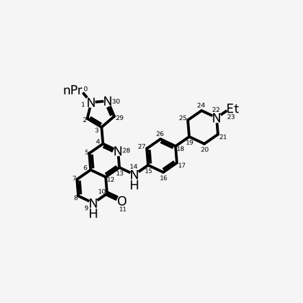 CCCn1cc(-c2cc3cc[nH]c(=O)c3c(Nc3ccc(C4CCN(CC)CC4)cc3)n2)cn1